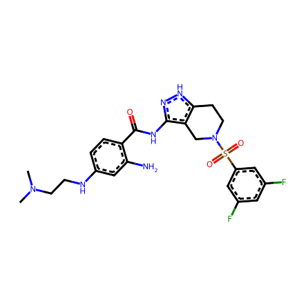 CN(C)CCNc1ccc(C(=O)Nc2n[nH]c3c2CN(S(=O)(=O)c2cc(F)cc(F)c2)CC3)c(N)c1